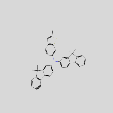 Cc1cc2ccc(N(c3ccc4c(c3)C(C)(C)c3ccc#cc3-4)c3ccc4c(c3)C(C)(C)c3ccccc3-4)cc2s1